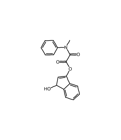 CN(C(=O)C(=O)OC1=CC(O)c2ccccc21)c1ccccc1